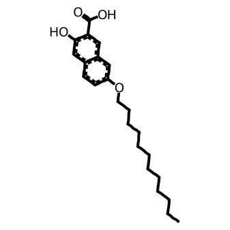 CCCCCCCCCCCCOc1ccc2cc(O)c(C(=O)O)cc2c1